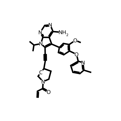 C=CC(=O)N1CCC(C#Cc2c(-c3ccc(Oc4cccc(C)n4)c(OC)c3)c3c(N)ncnc3n2C(C)C)CC1